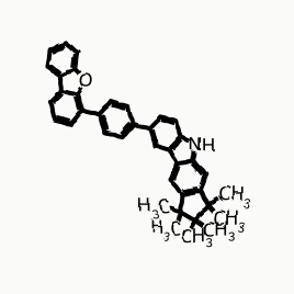 CC1(C)c2cc3[nH]c4ccc(-c5ccc(-c6cccc7c6oc6ccccc67)cc5)cc4c3cc2C(C)(C)C1(C)C